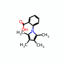 Cc1c(C)c(C)n(-c2ccccc2C(=O)O)c1C